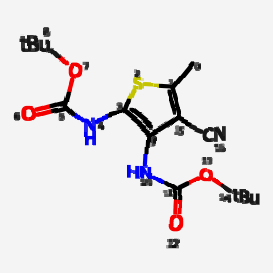 Cc1sc(NC(=O)OC(C)(C)C)c(NC(=O)OC(C)(C)C)c1C#N